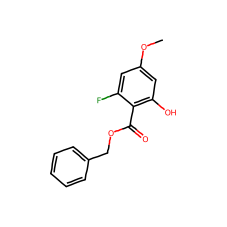 COc1cc(O)c(C(=O)OCc2ccccc2)c(F)c1